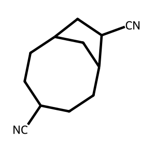 N#CC1CCC2CC(C#N)C(CC1)C2